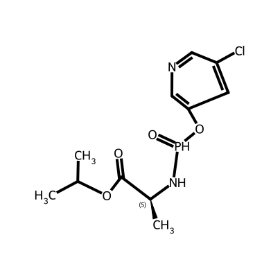 CC(C)OC(=O)[C@H](C)N[PH](=O)Oc1cncc(Cl)c1